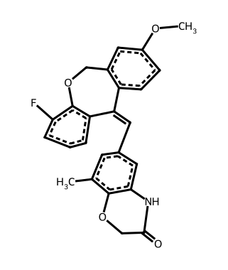 COc1ccc2c(c1)COc1c(F)cccc1C2=Cc1cc(C)c2c(c1)NC(=O)CO2